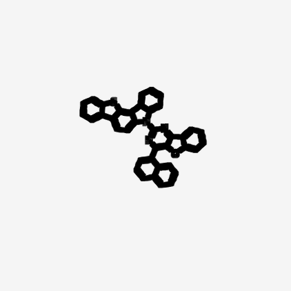 c1ccc2c(-c3nc(-n4c5ccccc5c5c6sc7ccccc7c6ccc54)nc4c3oc3ccccc34)cccc2c1